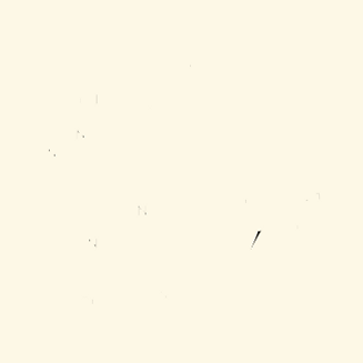 CCc1nc(-c2cnn(C)c2COC2CCCCO2)ncc1O[C@H]1CCC[C@H](C(=O)OC(C)C)C1